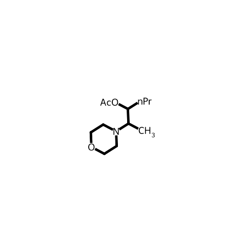 CCCC(OC(C)=O)C(C)N1CCOCC1